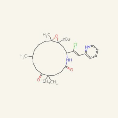 CCCCC12CC(C(Cl)=Cc3ccccn3)NC(=O)CCC(C)(C)C(=O)CCC(C)CCCC1(C)O2